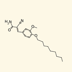 CCCCCCCCCOc1ccc(/C=C(\C#N)C(N)=O)cc1OC